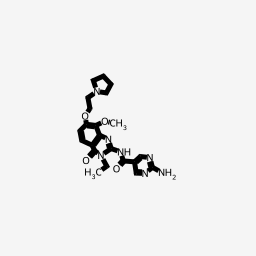 CCn1c(NC(=O)c2cnc(N)nc2)nc2c(OC)c(OCCN3CCCC3)ccc2c1=O